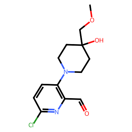 COCC1(O)CCN(c2ccc(Cl)nc2C=O)CC1